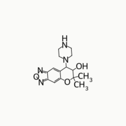 CC1(C)Oc2cc3nonc3cc2C(N2CCNCC2)C1O